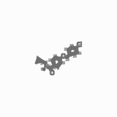 CN(CC1CC1)C(=O)c1ccc(OCc2ccc(Cl)cc2)cc1